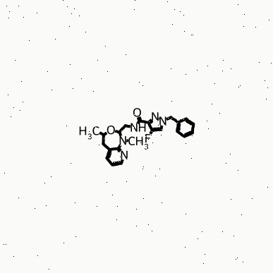 CC1Cc2cccnc2N(C)C(CNC(=O)c2nn(Cc3ccccc3)cc2F)O1